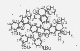 CC(C)(C)c1cc(N2c3ccc(C(C)(C)C)cc3B3c4oc5cc6c(cc5c4N(c4ccc5c(c4)C(C)(C)CCC5(C)C)c4cc(-c5cccc7c5oc5ccccc57)cc2c43)C(C)(C)CCC6(C)C)cc(C(C)(C)C)c1